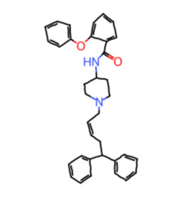 O=C(NC1CCN(C/C=C\CC(c2ccccc2)c2ccccc2)CC1)c1ccccc1Oc1ccccc1